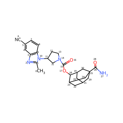 Cc1nc2cc(C#N)ccc2n1C1CCN(C(=O)OC2C3CC4CC2CC(C(N)=O)(C4)C3)C1